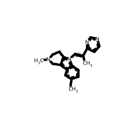 C/C(=C\n1c2c(c3cc(C)ccc31)CN(C)CC2)c1ccncn1